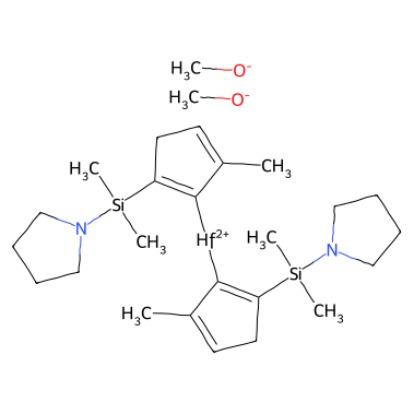 CC1=CCC([Si](C)(C)N2CCCC2)=[C]1[Hf+2][C]1=C([Si](C)(C)N2CCCC2)CC=C1C.C[O-].C[O-]